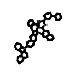 C1=CC(c2ccccc2)CC(C2NC(c3ccccc3)=NC(c3cc4ccccc4cc3-n3c4c(c5cc6cc(-n7c8c(c9c%10ccccc%10ccc97)CCC=C8)ccc6cc53)C=CCC4)N2)=C1